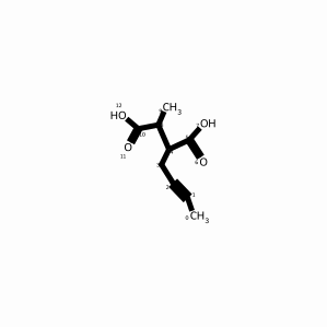 CC#CCC(C(=O)O)C(C)C(=O)O